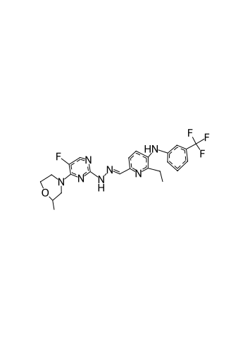 CCc1nc(/C=N/Nc2ncc(F)c(N3CCOC(C)C3)n2)ccc1Nc1cccc(C(F)(F)F)c1